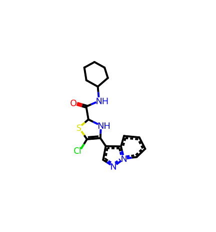 O=C(NC1CCCCC1)C1NC(c2cnn3ccccc23)=C(Cl)S1